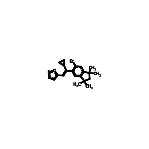 CCc1cc2c(cc1C(=Cc1ccno1)C1CC1)C(C)(C)CC2(C)C